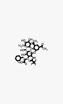 CCC1CC(C(C)=O)C[C@@H](O[C@@H]2O[C@@H](CO)C(O)C(O[C@@H](CC3CCCCC3)C(=O)O)C2NC(=O)C(F)(F)F)[C@H]1OC1O[C@@H](C)[C@H](O)C(O)[C@@H]1O